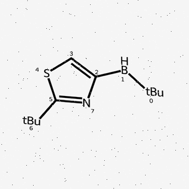 CC(C)(C)Bc1csc(C(C)(C)C)n1